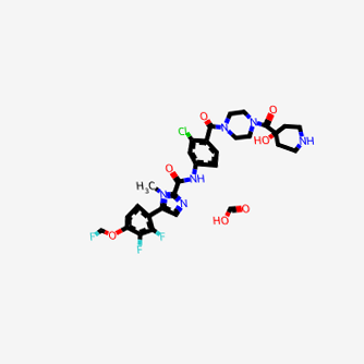 Cn1c(-c2ccc(OCF)c(F)c2F)cnc1C(=O)Nc1ccc(C(=O)N2CCN(C(=O)C3(O)CCNCC3)CC2)c(Cl)c1.O=CO